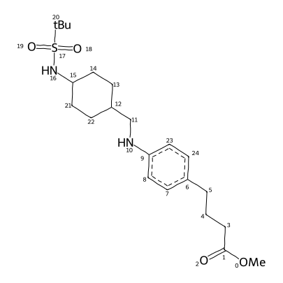 COC(=O)CCCc1ccc(NCC2CCC(NS(=O)(=O)C(C)(C)C)CC2)cc1